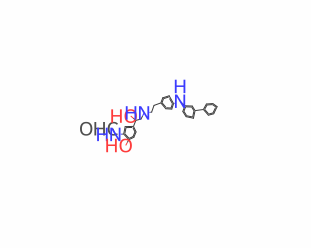 O=CNc1cc(C(O)CNCCc2ccc(Nc3cccc(-c4ccccc4)c3)cc2)ccc1O